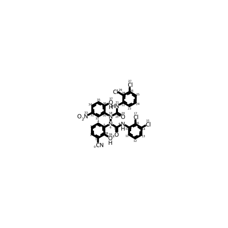 N#Cc1cccc(N(C(=O)Nc2cccc(Cl)c2Cl)N(C(=O)Nc2cccc(Cl)c2Cl)c2cc([N+](=O)[O-])ccc2O)c1O